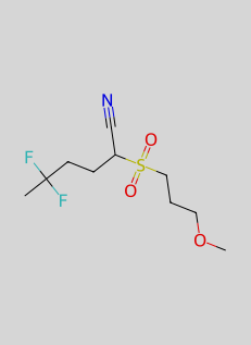 COCCCS(=O)(=O)C(C#N)CCC(C)(F)F